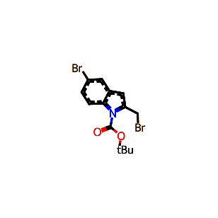 CC(C)(C)OC(=O)n1c(CBr)cc2cc(Br)ccc21